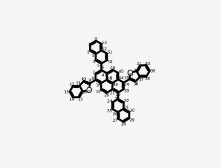 c1ccc2cc(-c3cc(-c4cc5ccccc5o4)c4ccc5c(-c6ccc7ccccc7c6)cc(-c6cc7ccccc7o6)c6ccc3c4c56)ccc2c1